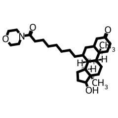 C[C@]12CCC(=O)CC1CC(CCCCCCCC(=O)N1CCOCC1)[C@@H]1[C@H]2CC[C@]2(C)C(O)CC[C@@H]12